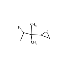 CC(C)(C(F)F)C1CO1